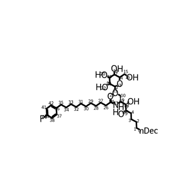 CCCCCCCCCCCCCC[C@@H](O)[C@@H](O)[C@H](COC1OC(CO)C(O)C(O)[C@@H]1O)NC(=O)CCCCCCCCCCc1ccc(F)cc1